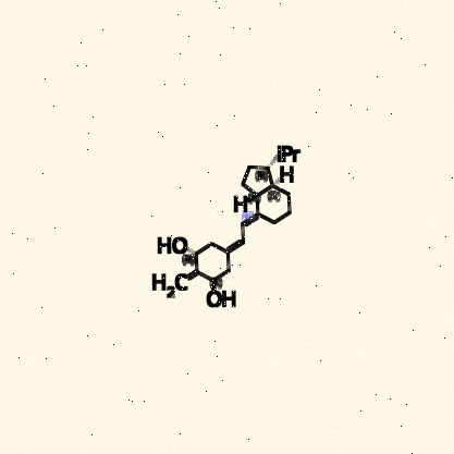 C=C1[C@H](O)CC(=C/C=C2\CCC[C@@H]3[C@@H](C(C)C)CC[C@@H]23)C[C@H]1O